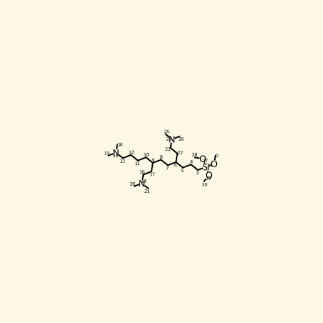 CO[Si](CCCC(CCC(CCCCN(C)C)CCN(C)C)CCN(C)C)(OC)OC